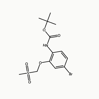 CC(C)(C)OC(=O)Nc1ccc(Br)cc1OCS(C)(=O)=O